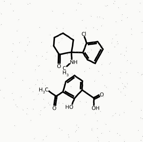 CC(=O)c1cccc(C(=O)O)c1O.CNC1(c2ccccc2Cl)CCCCC1=O